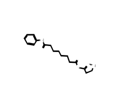 O=C(CCCCCCC(=O)Nc1ccccc1)NC1=NNCC1